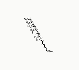 CCCCCCCCCCCCCCCC[SiH2]S[SiH2]O[SiH2]O[SiH2]O[SiH2]O[SiH2]O[SiH3]